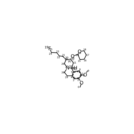 COc1cc2c(cc1OC)[C@H]1C[C@@H](OC3CCCCO3)[C@H](CCCC[19F])CN1CC2